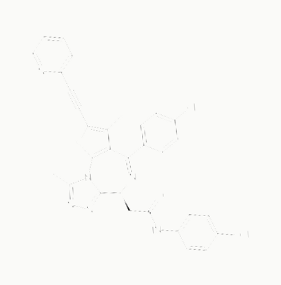 Cc1c(C#Cc2ccccn2)sc2c1C(c1ccc(Cl)cc1)=N[C@@H](CC(=O)Nc1ccc(O)cc1)c1nnc(C)n1-2